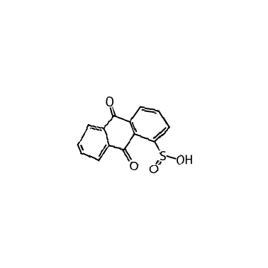 O=C1c2ccccc2C(=O)c2c1cccc2S(=O)O